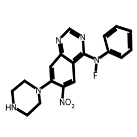 O=[N+]([O-])c1cc2c(N(F)c3ccccc3)ncnc2cc1N1CCNCC1